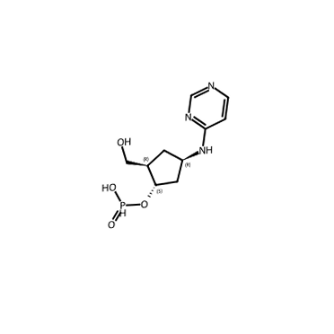 O=[PH](O)O[C@H]1C[C@H](Nc2ccncn2)C[C@@H]1CO